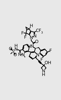 Cn1nc(NS(C)(=O)=O)c2cccc(-c3ccc(C#CC4(O)CNC4)nc3[C@H](Cc3cc(F)cc(F)c3)NC(=O)Cn3nc(C(F)(F)F)c4c3C(F)(F)C3C[C@H]43)c21